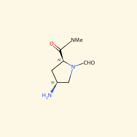 CNC(=O)[C@@H]1C[C@H](N)CN1C=O